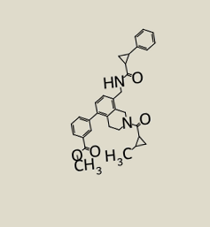 COC(=O)c1cccc(-c2ccc(CNC(=O)C3CC3c3ccccc3)c3c2CCN(C(=O)C2CC2C)C3)c1